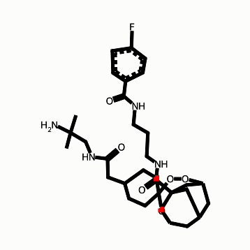 CC(C)(N)CNC(=O)CC1CCC2(CC1)OOC1CC3CC(CC(C(=O)NCCCNC(=O)c4ccc(F)cc4)(C3)C1)O2